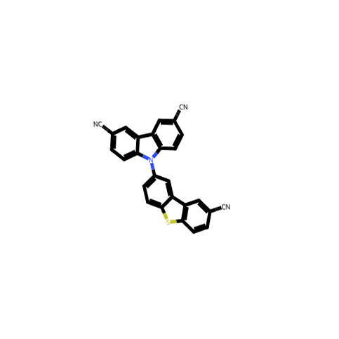 N#Cc1ccc2sc3ccc(-n4c5ccc(C#N)cc5c5cc(C#N)ccc54)cc3c2c1